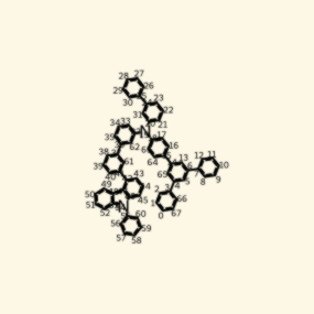 c1ccc(-c2cc(-c3ccccc3)cc(-c3ccc(N(c4cccc(-c5ccccc5)c4)c4cccc(-c5cccc(-c6cccc7c6c6ccccc6n7-c6ccccc6)c5)c4)cc3)c2)cc1